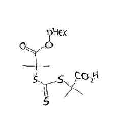 CCCCCCOC(=O)C(C)(C)SC(=S)SC(C)(C)C(=O)O